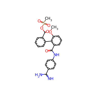 COc1cccc(C(=O)Nc2ccc(C(=N)N)cc2)c1-c1ccccc1C(=O)OS(C)(=O)=O